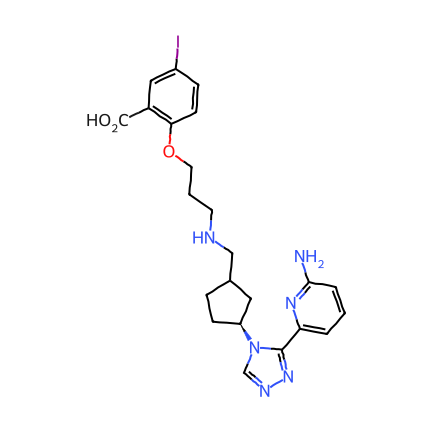 Nc1cccc(-c2nncn2[C@H]2CCC(CNCCCOc3ccc(I)cc3C(=O)O)C2)n1